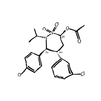 CC(=O)O[C@H]1C[C@H](c2cccc(Cl)c2)[C@@H](c2ccc(Cl)cc2)N(C(C)C)S1(=O)=O